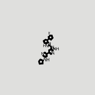 Fc1cccc(-c2cccc3[nH]c(-c4n[nH]c5ncc(-c6cncc(NC7CCCC7)c6)cc45)nc23)c1